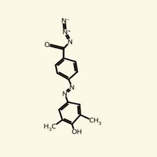 Cc1cc(N=Nc2ccc(C(=O)N=[N+]=[N-])cc2)cc(C)c1O